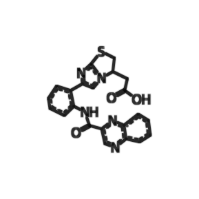 O=C(O)CC1CSc2nc(-c3ccccc3NC(=O)c3cnc4ccccc4n3)cn21